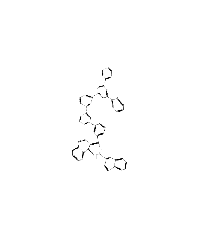 c1ccc(-c2cc(-c3ccccc3)cc(-c3cccc(-c4cccc(-c5cccc(-c6nc(-c7ccc8ccccc8c7)nc7c6ccc6ccccc67)c5)c4)c3)c2)cc1